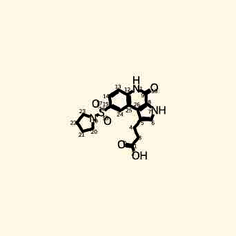 O=C(O)CCc1c[nH]c2c(=O)[nH]c3ccc(S(=O)(=O)N4CCCC4)cc3c12